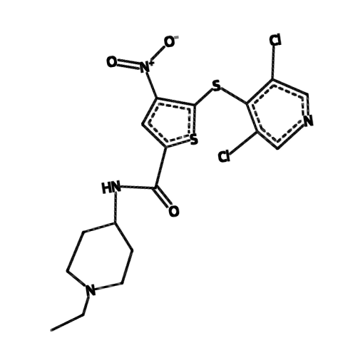 CCN1CCC(NC(=O)c2cc([N+](=O)[O-])c(Sc3c(Cl)cncc3Cl)s2)CC1